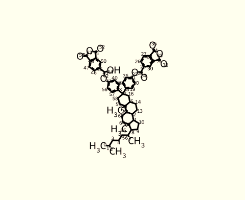 CC(C)CCCC(C)C1CCC2C3CCC4CC(c5ccc(OC(=O)c6ccc7c(c6)C(=O)OC7=O)cc5)(c5ccc(OC(O)c6ccc7c(c6)C(=O)OC7=O)cc5)CCC4(C)C3CCC12C